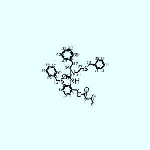 CC(C)CC(=O)OCc1cccc(SCc2ccccc2)c1NC(=O)N(CCSCc1ccccc1)CCc1ccccc1